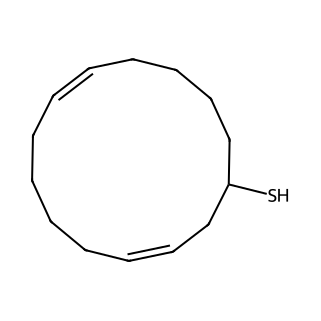 SC1CC=CCCCCC=CCCCC1